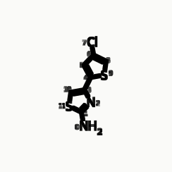 Nc1nc(-c2cc(Cl)cs2)cs1